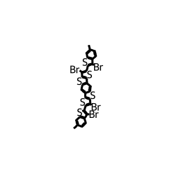 Cc1ccc2c(Br)c(-c3sc4c(sc5cc6c(cc54)sc4c(Br)c(-c5sc7cc(C)ccc7c5Br)sc46)c3Br)sc2c1